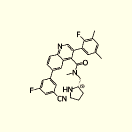 Cc1cc(C)c(F)c(-c2cnc3ccc(-c4cc(F)cc(C#N)c4)cc3c2C(=O)N(C)C[C@@H]2CCCN2)c1